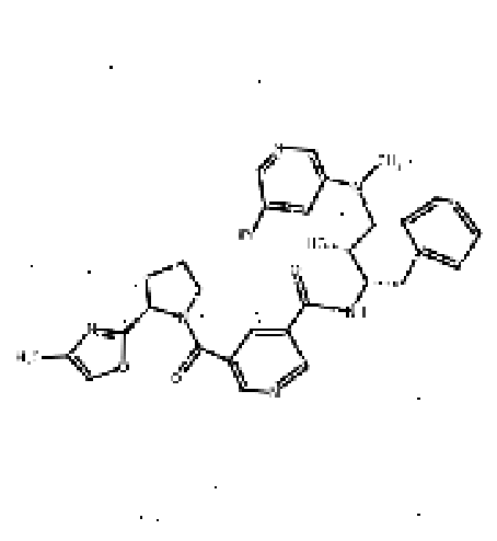 Cc1coc([C@H]2CCCN2C(=O)c2cncc(C(=O)N[C@@H](Cc3ccccc3)[C@H](O)CN(C)c3cncc(C(C)C)c3)c2)n1